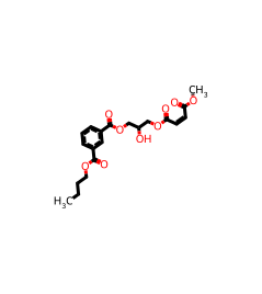 CCCCOC(=O)c1cccc(C(=O)OCC(O)COC(=O)/C=C\C(=O)OC)c1